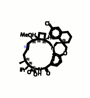 CO[C@H]1/C=C/C[C@H](C)[C@H](C(C)C)S(=O)(=O)NC(=O)c2ccc3c(c2)N(C[C@@H]2CC[C@H]21)C[C@@]1(CCCc2cc(Cl)ccc21)CO3